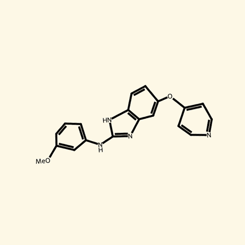 COc1cccc(Nc2nc3cc(Oc4ccncc4)ccc3[nH]2)c1